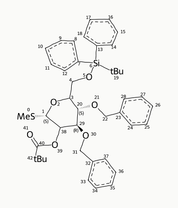 CS[C@@H]1OC(CO[Si](c2ccccc2)(c2ccccc2)C(C)(C)C)[C@H](OCc2ccccc2)[C@@H](OCc2ccccc2)C1OC(=O)C(C)(C)C